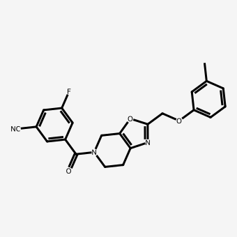 Cc1cccc(OCc2nc3c(o2)CN(C(=O)c2cc(F)cc(C#N)c2)CC3)c1